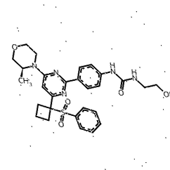 C[C@H]1COCCN1c1cc(C2(S(=O)(=O)c3ccccc3)CCC2)nc(-c2ccc(NC(=O)NCCO)cc2)n1